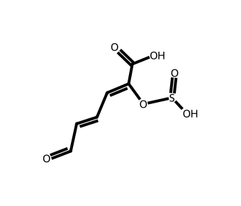 O=CC=CC=C(OS(=O)O)C(=O)O